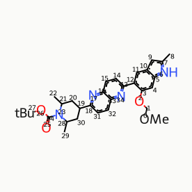 COCOc1cc2[nH]c(C)cc2cc1-c1ccc2nc(C3CC(C)N(C(=O)OC(C)(C)C)C(C)C3)ccc2n1